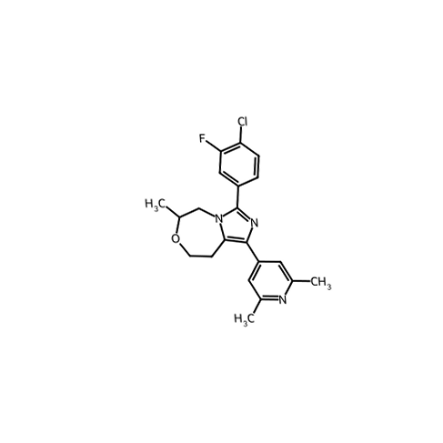 Cc1cc(-c2nc(-c3ccc(Cl)c(F)c3)n3c2CCOC(C)C3)cc(C)n1